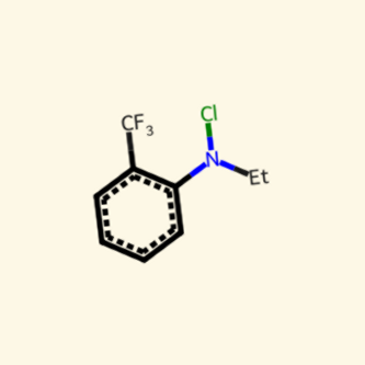 CCN(Cl)c1ccccc1C(F)(F)F